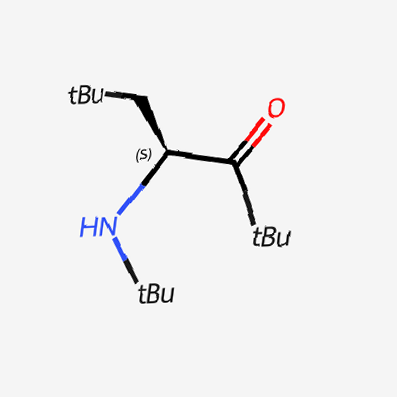 CC(C)(C)C[C@H](NC(C)(C)C)C(=O)C(C)(C)C